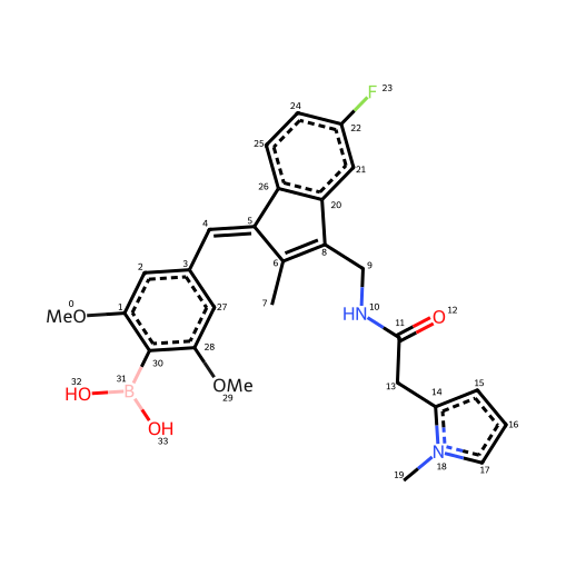 COc1cc(C=C2C(C)=C(CNC(=O)Cc3cccn3C)c3cc(F)ccc32)cc(OC)c1B(O)O